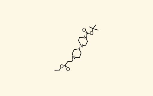 CCOC(=O)CCN1CCC(N2CCN(C(=O)OC(C)(C)C)CC2)CC1